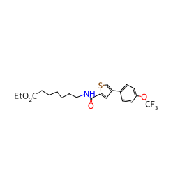 CCOC(=O)CCCCCCNC(=O)c1cc(-c2ccc(OC(F)(F)F)cc2)cs1